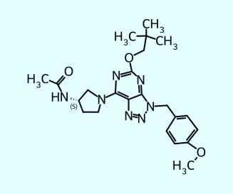 COc1ccc(Cn2nnc3c(N4CC[C@H](NC(C)=O)C4)nc(OCC(C)(C)C)nc32)cc1